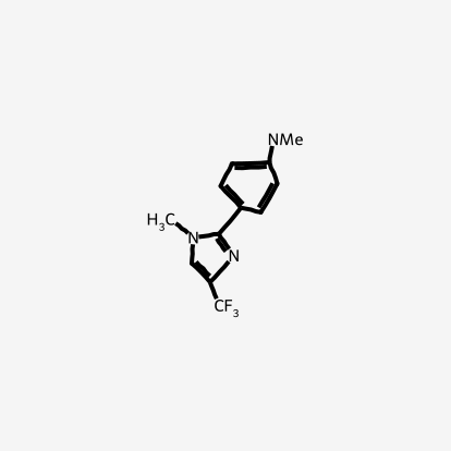 CNc1ccc(-c2nc(C(F)(F)F)cn2C)cc1